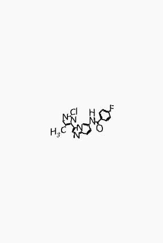 Cc1cnc(Cl)nc1-c1cnc2ccc(NC(=O)c3ccc(F)cc3)cn12